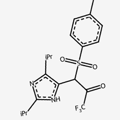 Cc1ccc(S(=O)(=O)C(C(=O)C(F)(F)F)c2[nH]c(C(C)C)nc2C(C)C)cc1